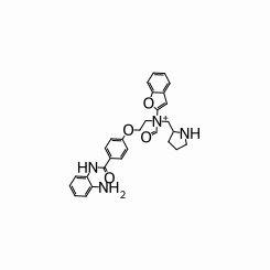 Nc1ccccc1NC(=O)c1ccc(OCC[N+](C=O)(CC2CCCN2)c2cc3ccccc3o2)cc1